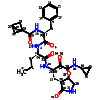 CCC[C@H](NC(=O)[C@@H](Cc1ccccc1)NC(=O)C12CC(C1)C2)C(=O)N[C@@H](C[C@@H]1CCNC1=O)C(=O)C(=O)NC1CC1